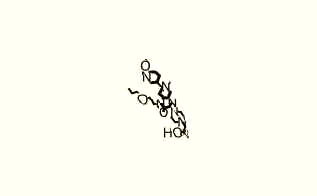 CCCOCCn1c(=O)c(N2CCN(C[C@@H](C)O)CC2)nc2cnc(-c3ccc(OC)nc3)cc21